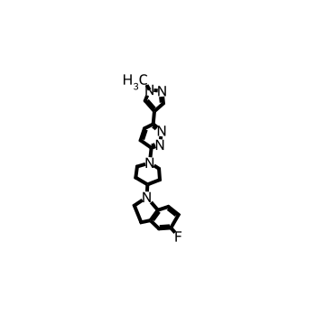 Cn1cc(-c2ccc(N3CCC(N4CCc5cc(F)ccc54)CC3)nn2)cn1